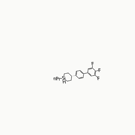 CCC[Si@H]1CC[C@H](c2ccc(-c3cc(F)c(F)c(F)c3)cc2)CC1